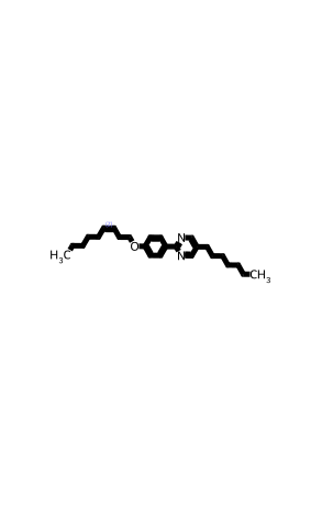 CCCCC/C=C\CCOc1ccc(-c2ncc(CCCCCCC)cn2)cc1